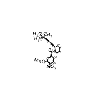 COc1cc(C(=O)N2CCCCC2C#CC#C[Si](C)(C)C)ccc1[N+](=O)[O-]